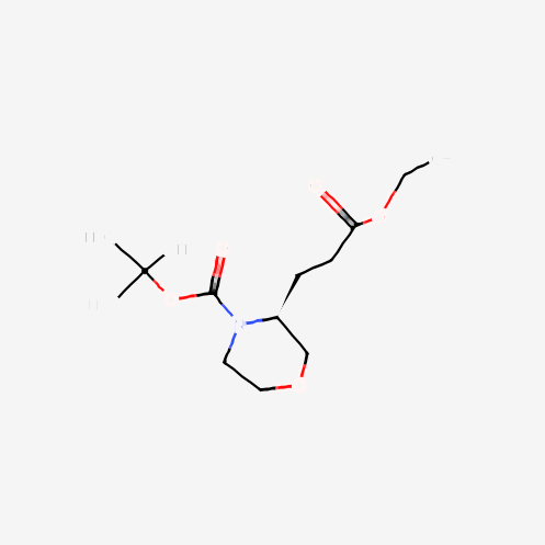 CCOC(=O)CC[C@H]1COCCN1C(=O)OC(C)(C)C